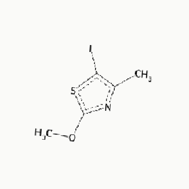 COc1nc(C)c(I)s1